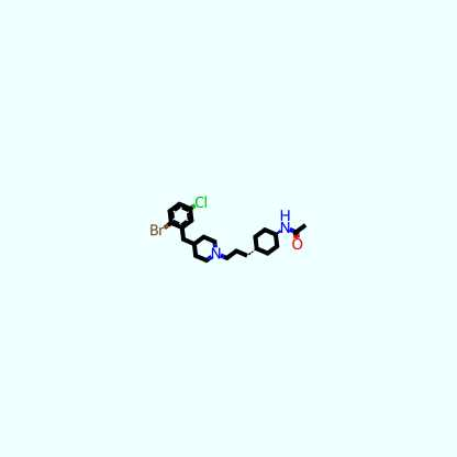 CC(=O)N[C@H]1CC[C@H](CCCN2CCC(Cc3cc(Cl)ccc3Br)CC2)CC1